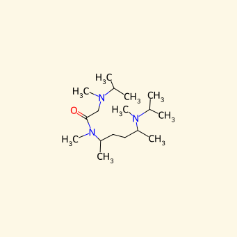 CC(C)N(C)CC(=O)N(C)C(C)CCC(C)N(C)C(C)C